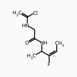 C=C(Cl)NCC(=O)NC(C)/C(F)=C\C